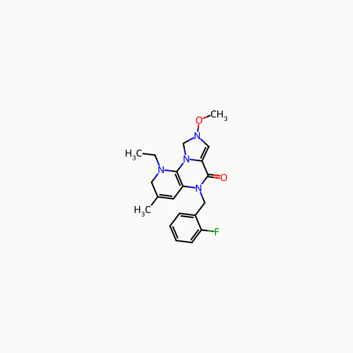 CCN1CC(C)=CC2=C1N1CN(OC)C=C1C(=O)N2Cc1ccccc1F